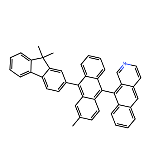 Cc1ccc2c(-c3c4ccccc4cc4ccncc34)c3ccccc3c(-c3ccc4c(c3)C(C)(C)c3ccccc3-4)c2c1